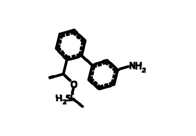 C[SiH2]OC(C)c1ccccc1-c1cccc(N)c1